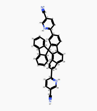 N#Cc1ccc(-c2ccc3c(c2)C2(c4ccccc4-c4ccccc42)c2c-3ccc3cc(-c4ccc(C#N)cn4)ccc23)nc1